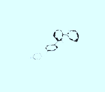 Cc1c(-c2ccc(OC3CCNCC3)cc2)cccc1-c1ccccn1